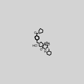 CCCCN1C(=O)[C@H](CC2CCCCC2)NC(=O)C12CCN(Cc1ccc(C(=O)N3CCCCC3)cc1)CC2.Cl